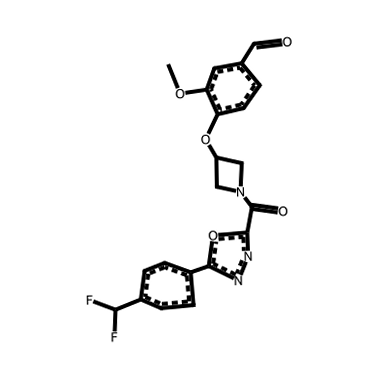 COc1cc(C=O)ccc1OC1CN(C(=O)c2nnc(-c3ccc(C(F)F)cc3)o2)C1